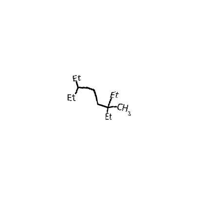 CCC(CC)CCC(C)(CC)CC